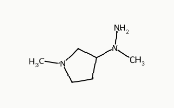 CN1CCC(N(C)N)C1